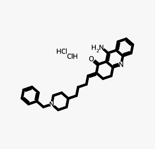 Cl.Cl.Nc1c2c(nc3ccccc13)CC/C(=C\CCCC1CCN(Cc3ccccc3)CC1)C2=O